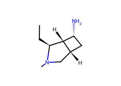 CC[C@H]1[C@H]2[C@H](C[C@H]2N)CN1C